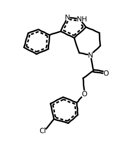 O=C(COc1ccc(Cl)cc1)N1CCc2[nH]nc(-c3ccccc3)c2C1